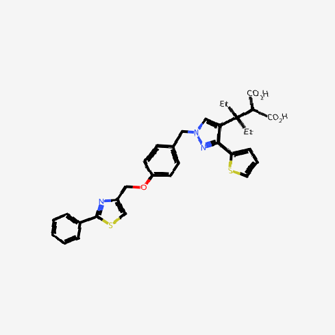 CCC(CC)(c1cn(Cc2ccc(OCc3csc(-c4ccccc4)n3)cc2)nc1-c1cccs1)C(C(=O)O)C(=O)O